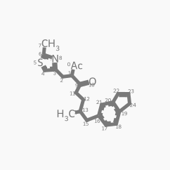 CC(=O)C(Cc1csc(C)n1)C(=O)CCC(C)Cc1ccc2c(c1)C=CC2